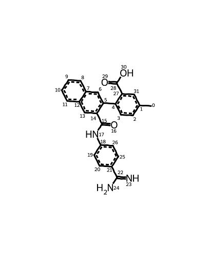 Cc1ccc(-c2cc3ccccc3cc2C(=O)Nc2ccc(C(=N)N)cc2)c(C(=O)O)c1